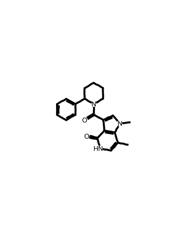 Cc1c[nH]c(=O)c2c(C(=O)N3CCCCC3c3ccccc3)cn(C)c12